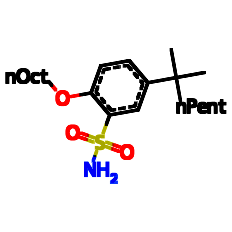 CCCCCCCCOc1ccc(C(C)(C)CCCCC)cc1S(N)(=O)=O